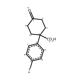 O=C1CCC(C(=O)O)(c2ccc(F)cc2)CC1